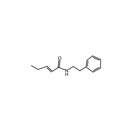 CC/C=C/C(=O)NCCc1ccccc1